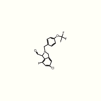 O=CC1c2c(I)cc(Cl)cc2CN1Cc1ccc(OC(F)(F)F)cc1